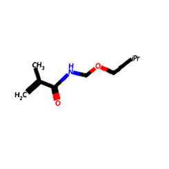 C=C(C)C(=O)NCOCC(C)C